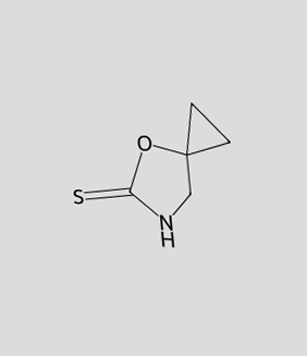 S=C1NCC2(CC2)O1